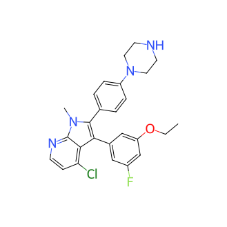 CCOc1cc(F)cc(-c2c(-c3ccc(N4CCNCC4)cc3)n(C)c3nccc(Cl)c23)c1